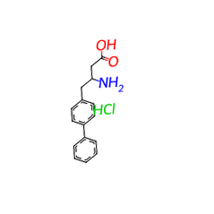 Cl.NC(CC(=O)O)Cc1ccc(-c2ccccc2)cc1